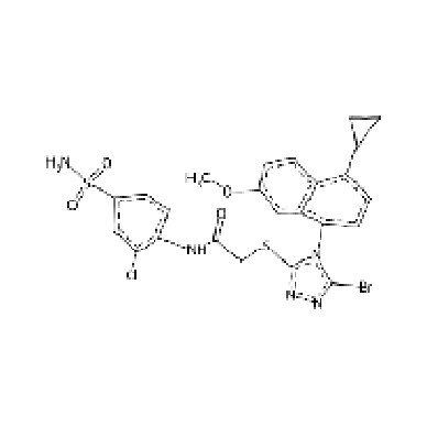 COc1ccc2c(C3CC3)ccc(-n3c(Br)nnc3SCC(=O)Nc3ccc(S(N)(=O)=O)cc3Cl)c2c1